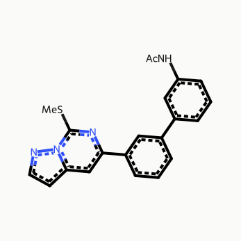 CSc1nc(-c2cccc(-c3cccc(NC(C)=O)c3)c2)cc2ccnn12